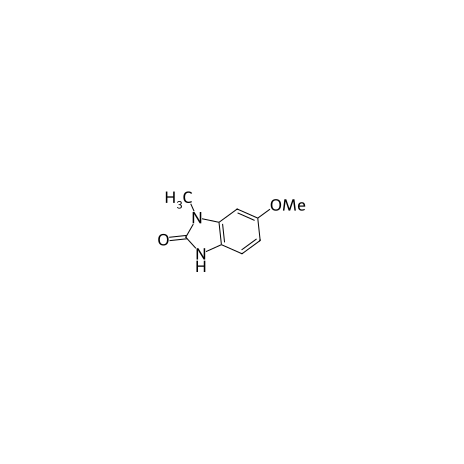 COc1ccc2[nH]c(=O)n(C)c2c1